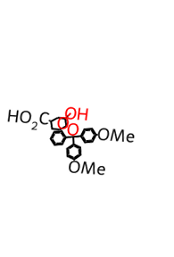 COc1ccc(C(OC2C3CC(C(=O)O)C(O3)C2O)(c2ccccc2)c2ccc(OC)cc2)cc1